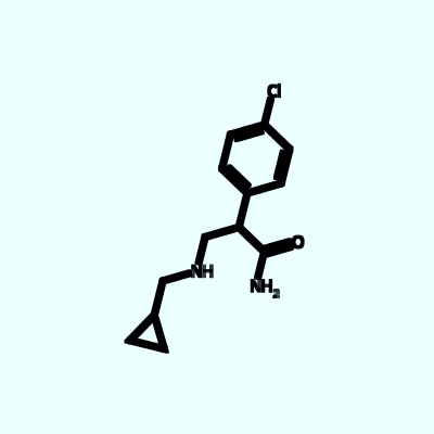 NC(=O)C(CNCC1CC1)c1ccc(Cl)cc1